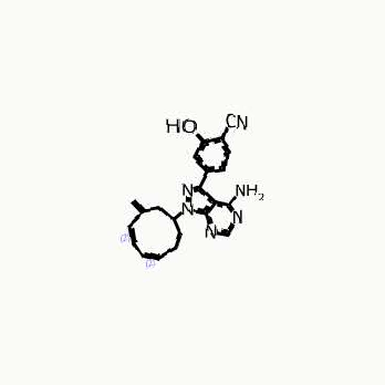 C=C1/C=C\C=C/CCC(n2nc(-c3ccc(C#N)c(O)c3)c3c(N)ncnc32)C1